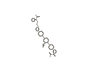 C=C(C)C(=C)Oc1ccc(-c2ccc(-c3ccc(OCCCC(=O)C(=C)C)cc3)cc2F)cc1